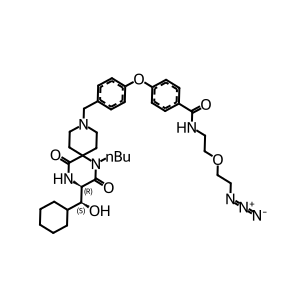 CCCCN1C(=O)[C@@H]([C@@H](O)C2CCCCC2)NC(=O)C12CCN(Cc1ccc(Oc3ccc(C(=O)NCCOCCN=[N+]=[N-])cc3)cc1)CC2